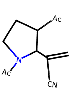 C=C(C#N)C1C(C(C)=O)CCN1C(C)=O